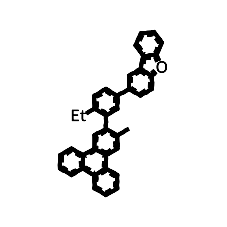 CCc1ccc(-c2ccc3oc4ccccc4c3c2)cc1-c1cc2c3ccccc3c3ccccc3c2cc1C